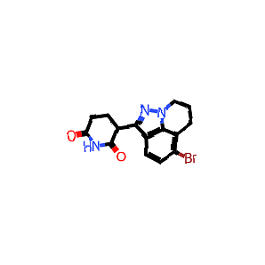 O=C1CCC(c2nn3c4c(c(Br)ccc24)CCC3)C(=O)N1